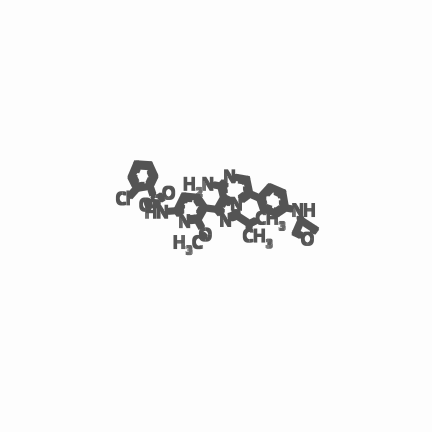 COc1nc(NS(=O)(=O)c2ccccc2Cl)ccc1-c1nc(C(C)C)n2c(-c3ccc(NC4COC4)cc3)cnc(N)c12